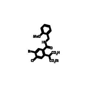 CCOC(=O)C(C(=O)O)c1cc(Cl)c(Br)cc1C(=O)NCc1ccccc1OC